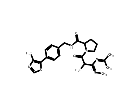 C/N=C(\N=C(C)C)C(C)C(=O)N1CCCC1C(=O)NCc1ccc(-c2scnc2C)cc1